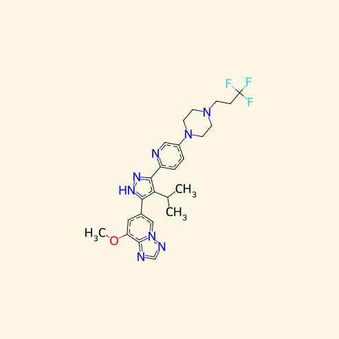 COc1cc(-c2[nH]nc(-c3ccc(N4CCN(CCC(F)(F)F)CC4)cn3)c2C(C)C)cn2ncnc12